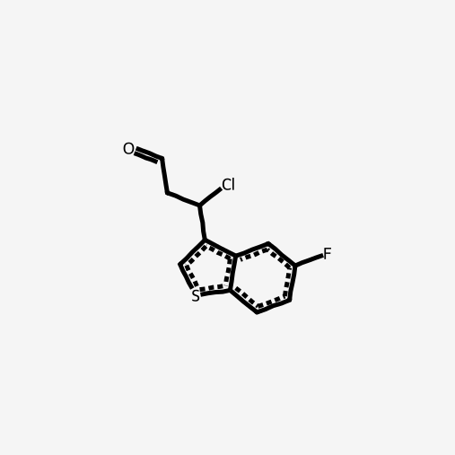 O=CCC(Cl)c1csc2ccc(F)cc12